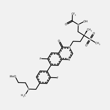 COCCN(C)Cc1ccc(-c2cc3ncn(CC[C@](C)(CN(O)C(=O)C(F)(F)F)S(C)(=O)=O)c(=O)c3cc2F)c(F)c1